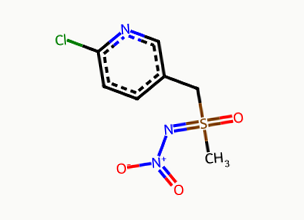 CS(=O)(Cc1ccc(Cl)nc1)=N[N+](=O)[O-]